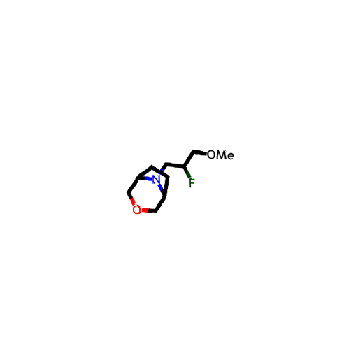 COCC(F)CN1C2CCC1COC2